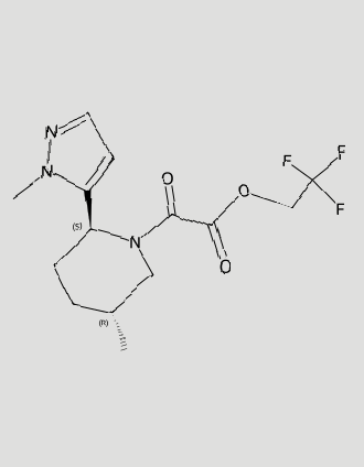 C[C@@H]1CC[C@@H](c2ccnn2C)N(C(=O)C(=O)OCC(F)(F)F)C1